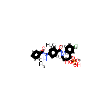 Cc1ccccc1C(=O)Nc1ccc(C(=O)N2CCCC(OP(=O)(O)O)c3cc(Cl)ccc32)c(C)c1